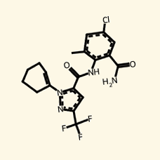 Cc1cc(Cl)cc(C(N)=O)c1NC(=O)c1cc(C(F)(F)F)nn1C1=CCCCC1